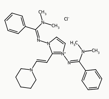 CN(C)C(=Nn1cc[n+](N=C(c2ccccc2)N(C)C)c1C=CN1CCCCC1)c1ccccc1.[Cl-]